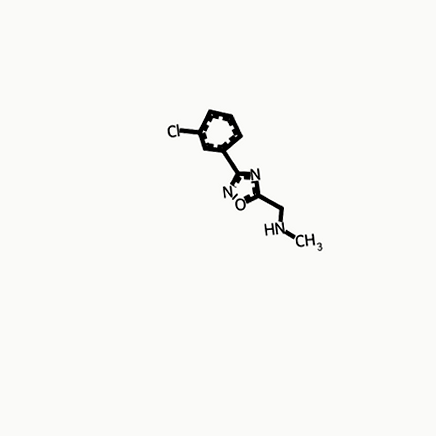 CNCc1nc(-c2cccc(Cl)c2)no1